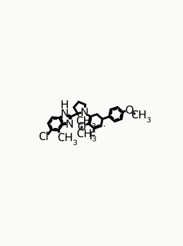 COC1=C(N2CCC[C@@]2(C)c2nc3c(C)c(Cl)ccc3[nH]2)CC(c2ccc(OC)cc2)[C]=C1F